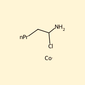 CCCCC(N)Cl.[Co]